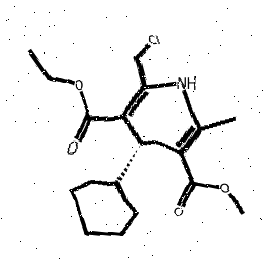 CCOC(=O)C1=C(CCl)NC(C)=C(C(=O)OC)[C@@H]1C1CCCCC1